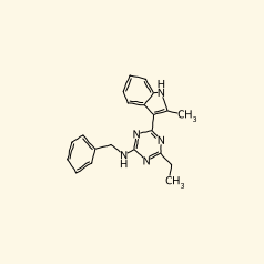 CCc1nc(NCc2ccccc2)nc(-c2c(C)[nH]c3ccccc23)n1